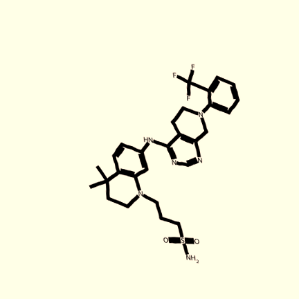 CC1(C)CCN(CCCS(N)(=O)=O)c2cc(Nc3ncnc4c3CCN(c3ccccc3C(F)(F)F)C4)ccc21